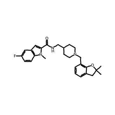 Cn1c(C(=O)NCC2CCN(Cc3cccc4c3OC(C)(C)C4)CC2)cc2cc(F)ccc21